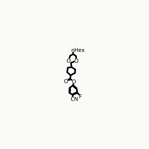 CCCCCCC1COC(C2CCC(C(=O)Oc3ccc(C#N)c(F)c3)CC2)OC1